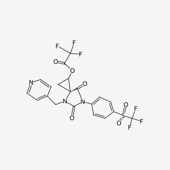 O=C1N(c2ccc(S(=O)(=O)C(F)(F)F)cc2)C(=O)C2(CC2OC(=O)C(F)(F)F)N1Cc1ccncc1